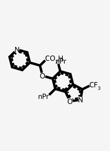 CCCc1cc2c(C(F)(F)F)noc2c(CCC)c1OC(C(=O)O)c1cccnc1